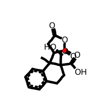 CC1(C2CC(=O)OC2=O)c2ccccc2CCC1(C(=O)O)C(=O)O